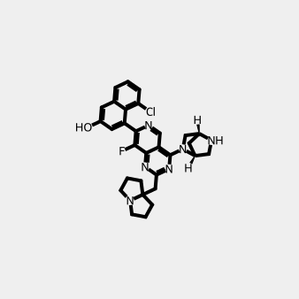 Oc1cc(-c2ncc3c(N4C[C@H]5C[C@@H]4CN5)nc(CC45CCCN4CCC5)nc3c2F)c2c(Cl)cccc2c1